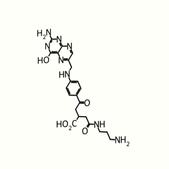 NCCCNC(=O)CC(CC(=O)c1ccc(NCc2cnc3nc(N)nc(O)c3n2)cc1)C(=O)O